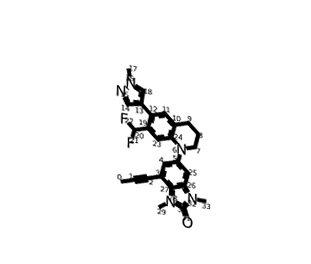 CC#Cc1cc(N2CCCc3cc(-c4cnn(C)c4)c(C(F)F)cc32)cc2c1n(C)c(=O)n2C